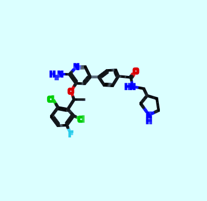 CC(Oc1cc(-c2ccc(C(=O)NCC3CCNC3)cc2)cnc1N)c1c(Cl)ccc(F)c1Cl